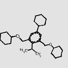 CC(C)c1c(COC2CCCCC2)cc(C2CCCCC2)cc1COC1CCCCC1